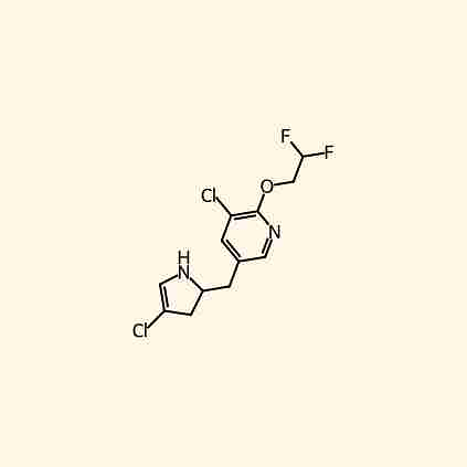 FC(F)COc1ncc(CC2CC(Cl)=CN2)cc1Cl